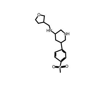 CS(=O)(=O)c1ccc(C2CNCC(NCC3CCOC3)C2)cc1